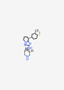 Fc1ccc(-c2cccn3nc(N[C@@H]4C5CC[C@H]4CNC5)nc23)cc1C(F)(F)F